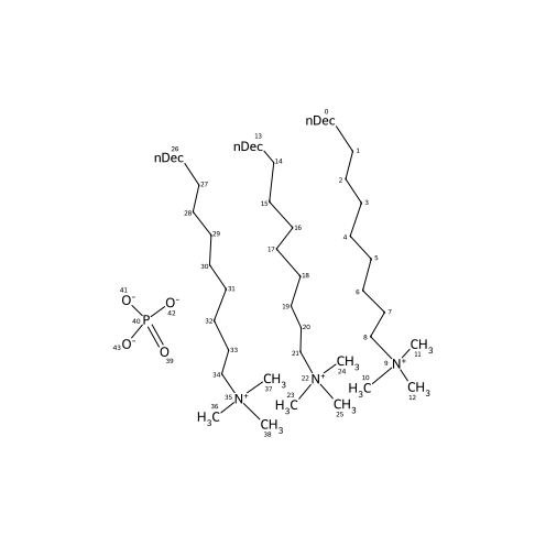 CCCCCCCCCCCCCCCCCC[N+](C)(C)C.CCCCCCCCCCCCCCCCCC[N+](C)(C)C.CCCCCCCCCCCCCCCCCC[N+](C)(C)C.O=P([O-])([O-])[O-]